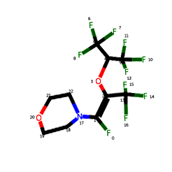 F/C(=C(/OC(C(F)(F)F)C(F)(F)F)C(F)(F)F)N1CCOCC1